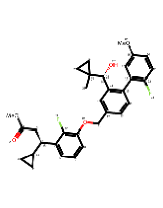 COC(=O)C[C@@H](c1cccc(OCc2ccc(-c3cc(OC)ccc3F)c([C@@H](O)C3(C)CC3)c2)c1F)C1CC1